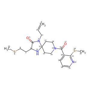 C=CCN1C(=O)C(CCSC)NC12CCN(C(=O)c1cccnc1SC)CC2